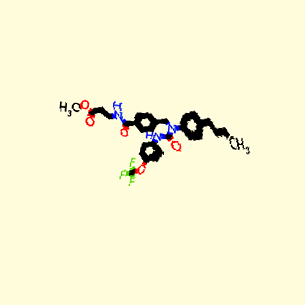 CCCCc1ccc(N(Cc2ccc(C(=O)NCCC(=O)OC)cc2)C(=O)Nc2ccc(OC(F)(F)F)cc2)cc1